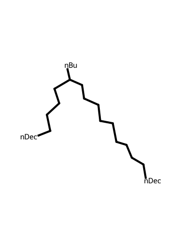 [CH2]CCCC(CCCCCCCCCCCCCC)CCCCCCCCCCCCCCCCCCC